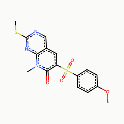 COc1ccc(S(=O)(=O)c2cc3cnc(SC)nc3n(C)c2=O)cc1